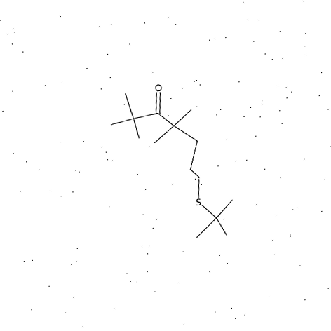 CC(C)(C)SCCCC(C)(C)C(=O)C(C)(C)C